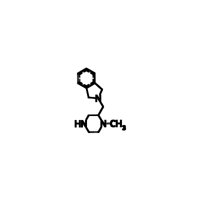 CN1CCNCC1CN1Cc2ccccc2C1